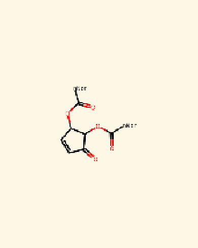 CCCCCCCCCC(=O)OC1C=CC(=O)C1OC(=O)CCCCCCCCC